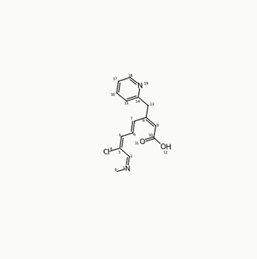 C\N=C/C(Cl)=C\C=C\C(=C/C(=O)O)Cc1ccccn1